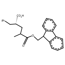 CC(C)C[C@@H](CC(C)C(=O)OCC1c2ccccc2-c2ccccc21)C(=O)O